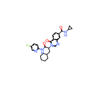 O=C(NC1CC1)c1ccc2c(=O)n(C(CC3CCCCC3)C(=O)Nc3ccc(F)cn3)cnc2c1